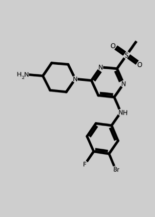 CS(=O)(=O)c1nc(Nc2ccc(F)c(Br)c2)cc(N2CCC(N)CC2)n1